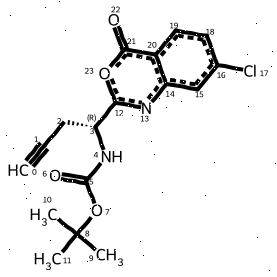 C#CC[C@@H](NC(=O)OC(C)(C)C)c1nc2cc(Cl)ccc2c(=O)o1